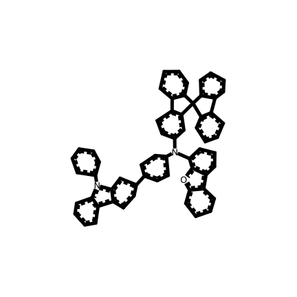 c1ccc(-n2c3ccccc3c3ccc(-c4ccc(N(c5ccc6c(c5)C5(c7ccccc7-c7ccccc75)c5ccccc5-6)c5cccc6c5oc5ccccc56)cc4)cc32)cc1